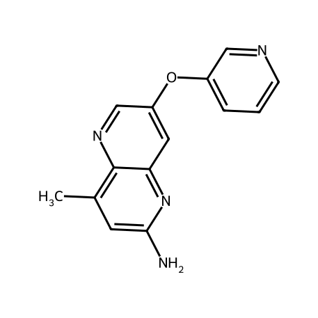 Cc1cc(N)nc2cc(Oc3cccnc3)cnc12